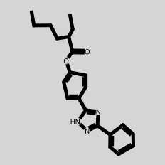 CCCCC(CC)C(=O)Oc1ccc(-c2nc(-c3ccccc3)n[nH]2)cc1